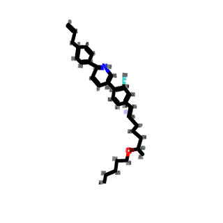 C=CCc1ccc(-c2ccc(-c3ccc(/C=C/CCCC(C)OCCCCC)cc3F)cn2)cc1